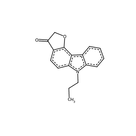 CCCn1c2ccccc2c2c3c(ccc21)C(=O)CO3